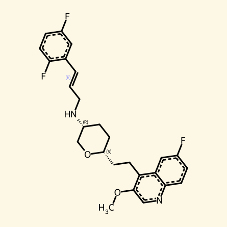 COc1cnc2ccc(F)cc2c1CC[C@H]1CC[C@@H](NC/C=C/c2cc(F)ccc2F)CO1